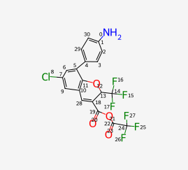 Nc1ccc(-c2cc(Cl)cc3c2OC(C(F)(F)F)C(C(=O)OC(=O)C(F)(F)F)=C3)cc1